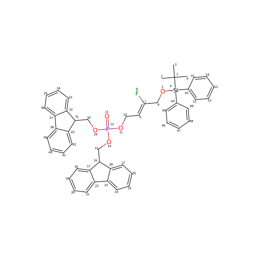 CC(C)(C)[Si](OCC(F)=CCOP(=O)(OCC1c2ccccc2-c2ccccc21)OCC1c2ccccc2-c2ccccc21)(c1ccccc1)c1ccccc1